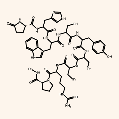 CCNC(=O)[C@@H]1CCCN1C(=O)C(CCCNC(=N)N)NC(=O)C(CC(C)C)NC(=O)C(CC(C)C)NC(=O)C(Cc1ccc(O)cc1)NC(=O)C(CO)NC(=O)C(Cc1c[nH]c2ccccc12)NC(=O)C(Cc1c[nH]cn1)NC(=O)[C@@H]1CCC(=O)N1